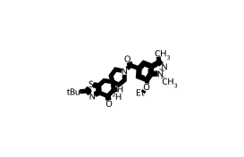 [2H]C1([2H])C(=O)c2nc(C(C)(C)C)sc2CC12CCN(C(=O)c1cc(OCC)c3c(c1)c(C)nn3C)CC2